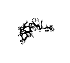 C[C@H](CCC(=O)NCCS(=O)(=O)O)[C@H]1CC[C@H]2[C@@H]3C(=O)C[C@@H]4CC(=O)CC[C@]4(C)[C@H]3CC(=O)[C@]12C